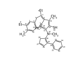 C#CC1=C(/CC)Cc2cc(CC)c(C)cc2/C=C(N(C)C2=C(c3ccccc3)C=CC2)/C(S)=C\1C